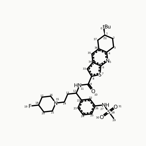 CC(C)(C)[C@H]1CCc2nc3sc(C(=O)NC(CCN4CCC(F)CC4)c4cccc(NS(C)(=O)=O)c4)cc3cc2C1